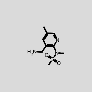 Cc1cnc(N(C)S(C)(=O)=O)c(CN)c1